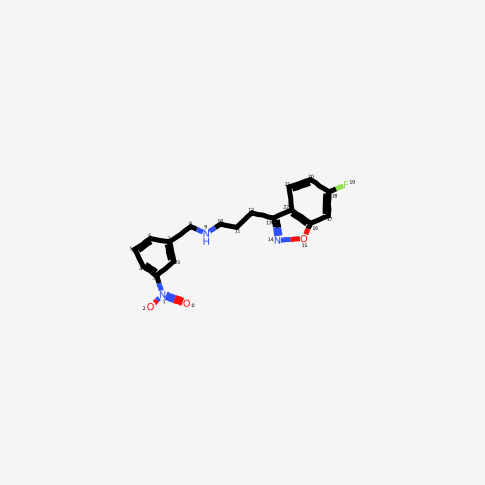 O=[N+]([O-])c1cccc(CNCCCc2noc3cc(F)ccc23)c1